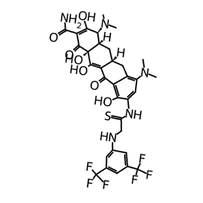 CN(C)c1cc(NC(=S)CNc2cc(C(F)(F)F)cc(C(F)(F)F)c2)c(O)c2c1C[C@H]1C[C@H]3[C@H](N(C)C)C(O)=C(C(N)=O)C(=O)[C@@]3(O)C(O)=C1C2=O